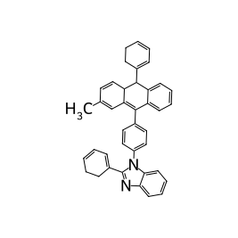 CC1=CC2=C(c3ccc(-n4c(C5=CC=CCC5)nc5ccccc54)cc3)c3ccccc3C(C3=CC=CCC3)C2C=C1